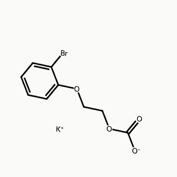 O=C([O-])OCCOc1ccccc1Br.[K+]